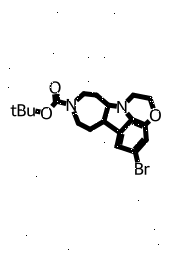 CC(C)(C)OC(=O)N1CCC2c3cc(Br)cc4c3N(CCO4)C2CC1